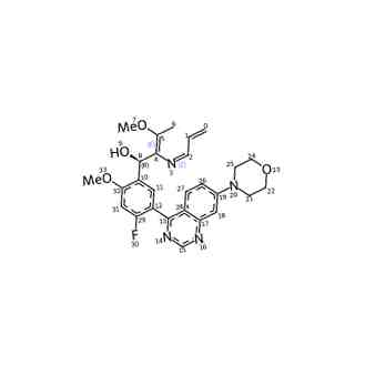 C=C/C=N\C(=C(/C)OC)[C@H](O)c1cc(-c2ncnc3cc(N4CCOCC4)ccc23)c(F)cc1OC